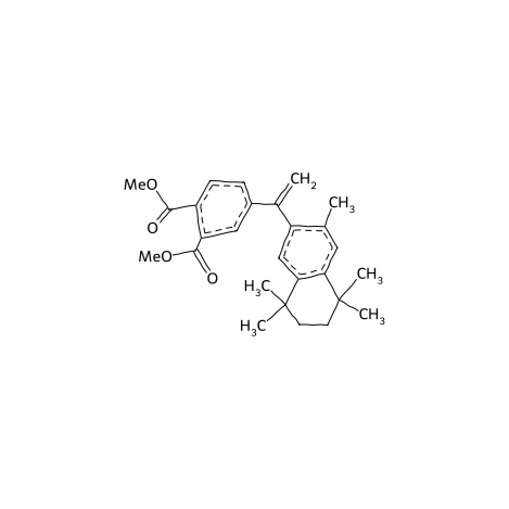 C=C(c1ccc(C(=O)OC)c(C(=O)OC)c1)c1cc2c(cc1C)C(C)(C)CCC2(C)C